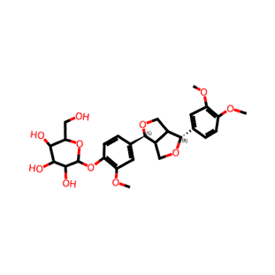 COc1ccc([C@@H]2OCC3C2CO[C@@H]3c2ccc(OC3OC(CO)C(O)C(O)C3O)c(OC)c2)cc1OC